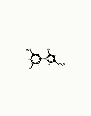 CCOC(=O)c1cc(N)n(-c2cc(SC)nc(C)n2)n1